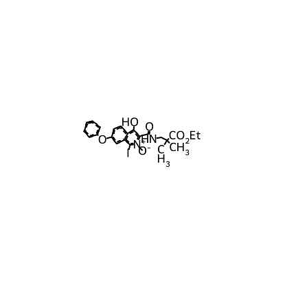 CCOC(=O)C(C)(C)CNC(=O)c1c(O)c2ccc(Oc3ccccc3)cc2c(I)[n+]1[O-]